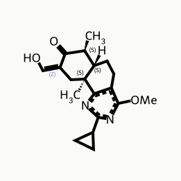 COc1nc(C2CC2)nc2c1CC[C@H]1[C@H](C)C(=O)/C(=C\O)C[C@]21C